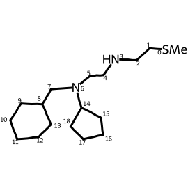 CSCCNCCN(CC1CCCCC1)C1CCCC1